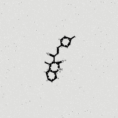 Cc1ccc(C=CC(=O)c2c(C)c3ccccc3[nH]c2=O)cc1